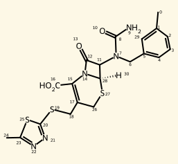 Cc1cccc(CN(C(N)=O)C2C(=O)N3C(C(=O)O)=C(CSc4nnc(C)s4)CS[C@H]23)c1